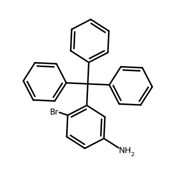 Nc1ccc(Br)c(C(c2ccccc2)(c2ccccc2)c2ccccc2)c1